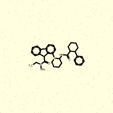 CCCCN(CC(F)(F)F)C(=O)C1c2ccccc2-c2cccc(N3CCCCC3NC(=O)C3CCCCC3c3ccccc3)c21